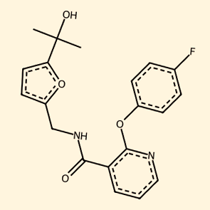 CC(C)(O)c1ccc(CNC(=O)c2cccnc2Oc2ccc(F)cc2)o1